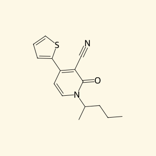 CCCC(C)n1ccc(-c2cccs2)c(C#N)c1=O